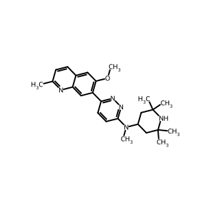 COc1cc2ccc(C)nc2cc1-c1ccc(N(C)C2CC(C)(C)NC(C)(C)C2)nn1